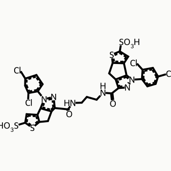 O=C(NCCCNC(=O)c1nn(-c2ccc(Cl)cc2Cl)c2c1Cc1sc(S(=O)(=O)O)cc1-2)c1nn(-c2ccc(Cl)cc2Cl)c2c1Cc1sc(S(=O)(=O)O)cc1-2